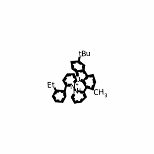 CCc1ccccc1-c1cccc[n+]1-[n+]1ccccc1-c1c(C)ccc2c1oc1ccc(C(C)(C)C)cc12